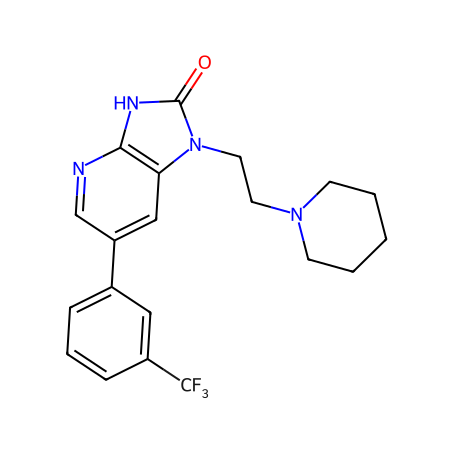 O=c1[nH]c2ncc(-c3cccc(C(F)(F)F)c3)cc2n1CCN1CCCCC1